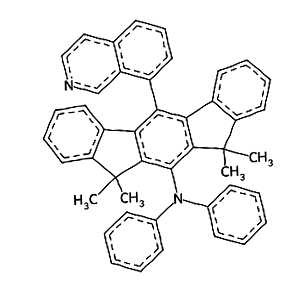 CC1(C)c2ccccc2-c2c(-c3cccc4ccncc34)c3c(c(N(c4ccccc4)c4ccccc4)c21)C(C)(C)c1ccccc1-3